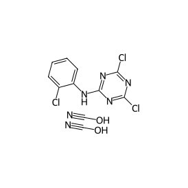 Clc1nc(Cl)nc(Nc2ccccc2Cl)n1.N#CO.N#CO